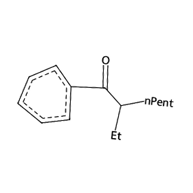 CCCCCC(CC)C(=O)c1ccccc1